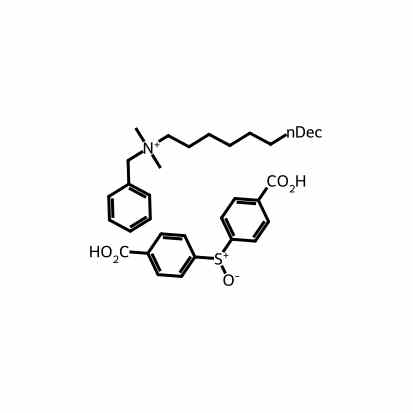 CCCCCCCCCCCCCCCC[N+](C)(C)Cc1ccccc1.O=C(O)c1ccc([S+]([O-])c2ccc(C(=O)O)cc2)cc1